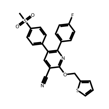 CS(=O)(=O)c1ccc(-c2cc(C#N)c(OCc3cccs3)nc2-c2ccc(F)cc2)cc1